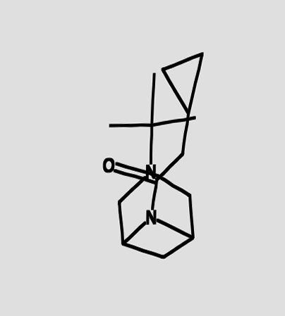 CC(C)(C)N1CC2CC(C1)N2C(=O)CC1CC1